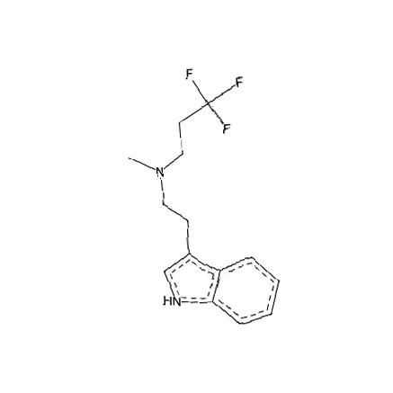 CN(CCc1c[nH]c2ccccc12)CCC(F)(F)F